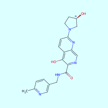 Cc1ccc(CNC(=O)c2ncc3nc(N4CC[C@@H](O)C4)ccc3c2O)cn1